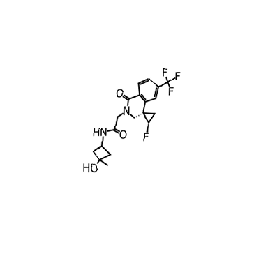 CC1(O)CC(NC(=O)CN2C[C@@]3(C[C@H]3F)c3cc(C(F)(F)F)ccc3C2=O)C1